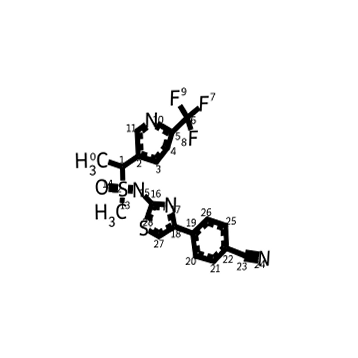 CC(c1ccc(C(F)(F)F)nc1)S(C)(=O)=Nc1nc(-c2ccc(C#N)cc2)cs1